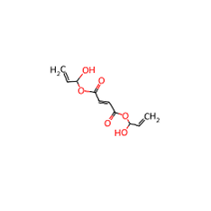 C=CC(O)OC(=O)C=CC(=O)OC(O)C=C